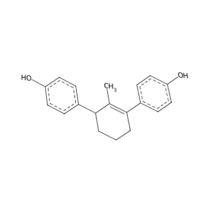 CC1=C(c2ccc(O)cc2)CCCC1c1ccc(O)cc1